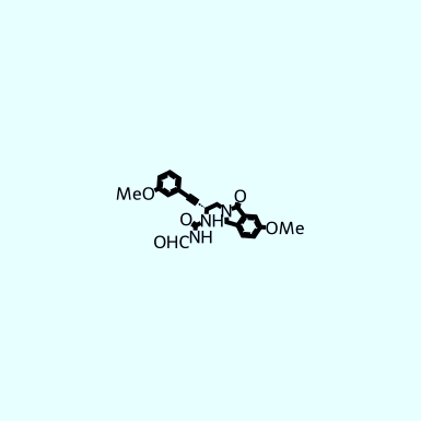 COc1cccc(C#C[C@H](CN2Cc3ccc(OC)cc3C2=O)NC(=O)NC=O)c1